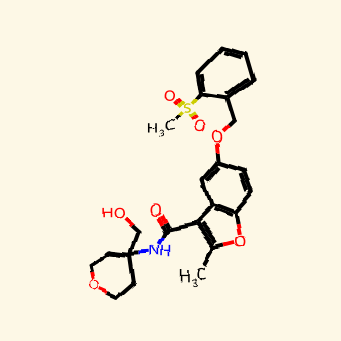 Cc1oc2ccc(OCc3ccccc3S(C)(=O)=O)cc2c1C(=O)NC1(CO)CCOCC1